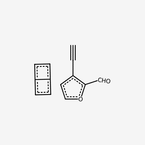 C#Cc1ccoc1C=O.c1cc2ccc1-2